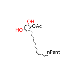 CCCCC/C=C\C/C=C\CCCCCCCc1cc(O)cc(O)c1OC(C)=O